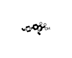 C=Cn1cc(C(=O)O)c(=O)c2ccc(N3CCN(CC)CC3)cc21